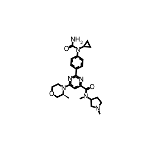 C[C@H]1COCCN1c1cc(C(=O)N(C)C2CCN(C)C2)nc(-c2ccc(N(C(N)=O)C3CC3)cc2)n1